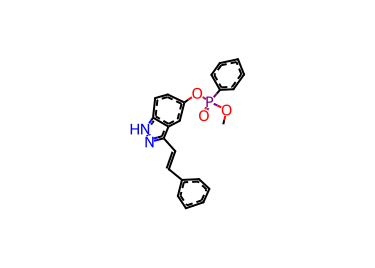 COP(=O)(Oc1ccc2[nH]nc(/C=C/c3ccccc3)c2c1)c1ccccc1